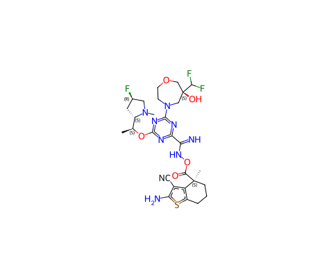 C[C@H](Oc1nc(C(=N)NOC(=O)[C@@]2(C)CCCc3sc(N)c(C#N)c32)nc(N2CCOC[C@](O)(C(F)F)C2)n1)[C@@H]1C[C@@H](F)CN1C